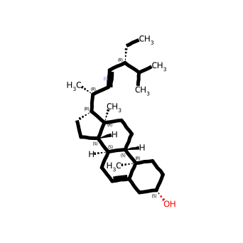 CC[C@@H](/C=C/[C@@H](C)[C@H]1CC[C@H]2[C@@H]3CC=C4C[C@@H](O)CC[C@]4(C)[C@H]3CC[C@]12C)C(C)C